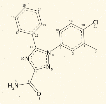 Cc1cc(-n2nc(C(N)=O)nc2-c2ccccc2)ccc1Cl